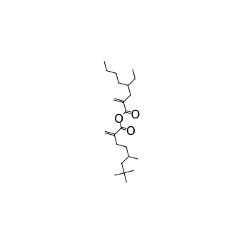 C=C(CCC(C)CC(C)(C)C)C(=O)OC(=O)C(=C)CC(CC)CCCC